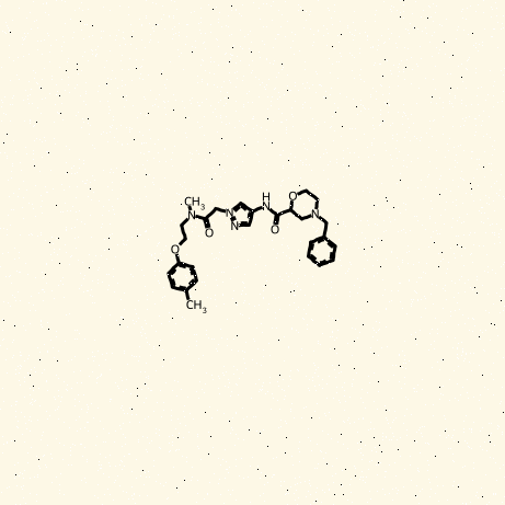 Cc1ccc(OCCN(C)C(=O)Cn2cc(NC(=O)C3CN(Cc4ccccc4)CCO3)cn2)cc1